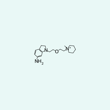 C[N+]1(CCOCCN2CCc3ccc(N)cc32)CCCCC1